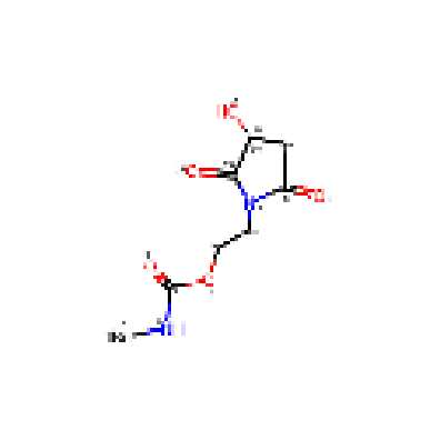 CC(C)(C)NC(=O)OCCN1C(=O)C[C@@H](O)C1=O